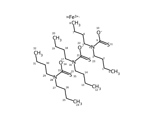 CCCCN(CCCC)C([O-])=S.CCCCN(CCCC)C([O-])=S.CCCCN(CCCC)C([O-])=S.[Fe+3]